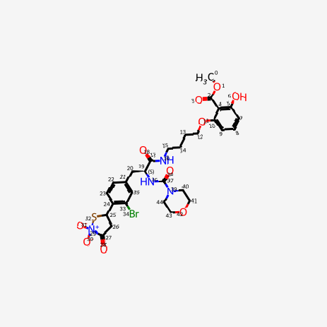 COC(=O)c1c(O)cccc1OCCCCNC(=O)[C@H](Cc1ccc(C2CC(=O)[N+]([O-])([O-])S2)c(Br)c1)NC(=O)N1CCOCC1